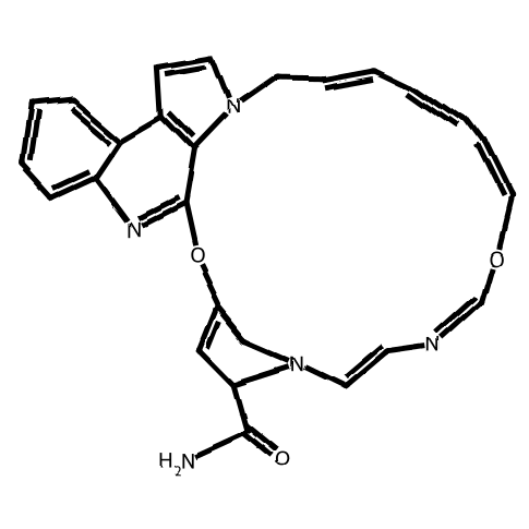 NC(=O)C1C=C2CN1/C=C/N=C\O\C=C/C=C\C=C\Cn1ccc3c4ccccc4nc(c31)O2